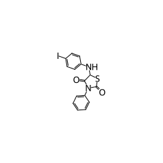 O=C1SC(Nc2ccc(I)cc2)C(=O)N1c1ccccc1